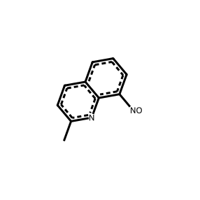 Cc1ccc2cccc(N=O)c2n1